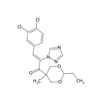 CCC1OCC(C)(C(=O)C(=Cc2ccc(Cl)c(Cl)c2)n2cncn2)CO1